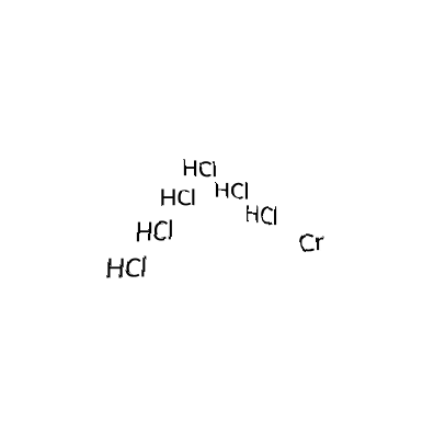 Cl.Cl.Cl.Cl.Cl.Cl.[Cr]